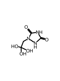 O=c1[nH]c(=O)n(CC(O)(O)O)[nH]1